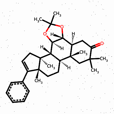 CC1(C)O[C@H]2[C@H](O1)[C@H]1CC(=O)C(C)(C)C[C@]1(C)[C@H]1CC[C@]3(C)C(c4ccccc4)=CC[C@@]3(C)[C@H]21